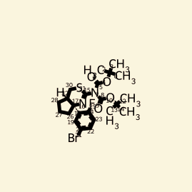 CC(C)(C)OC(=O)N(C(=O)OC(C)(C)C)C1=N[C@@]2(c3cc(Br)ccc3F)CCC[C@H]2CS1